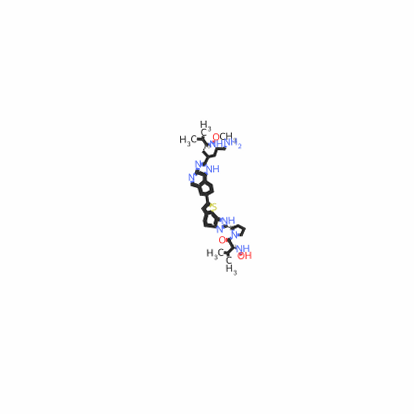 CON[C@H](CC(CCCN)c1nc2ncc3cc(-c4cc5ccc6nc([C@@H]7CCCN7C(=O)[C@@H](NO)C(C)C)[nH]c6c5s4)ccc3c2[nH]1)C(C)C